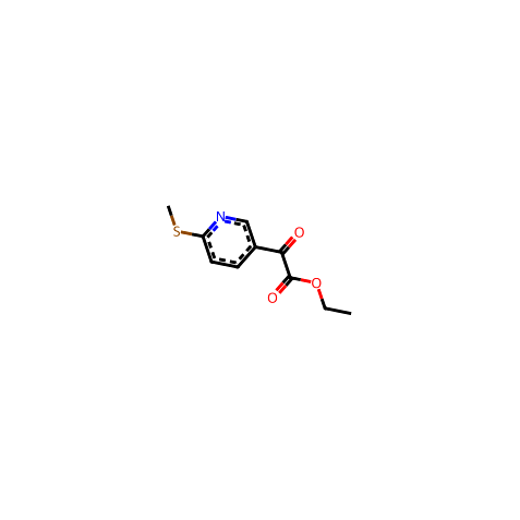 CCOC(=O)C(=O)c1ccc(SC)nc1